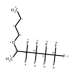 CCC[CH]OC(C)C(F)(F)C(F)(F)C(F)(F)C(F)(F)F